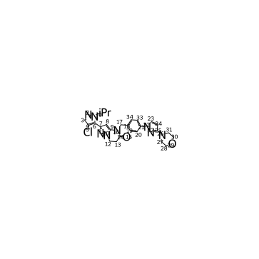 CC(C)n1ncc(Cl)c1-c1cc2n(n1)CCC(=O)N2Cc1ccc(-n2ccc(N3CCOCC3)n2)cc1